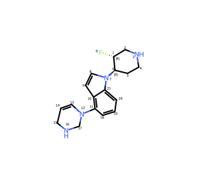 F[C@@H]1CNCC[C@H]1n1ccc2c(N3C=CCNC3)cccc21